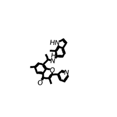 Cc1cc(C(C)Nc2ccc3cc[nH]c3c2C)c2oc(-c3cccnc3)c(C)c(=O)c2c1